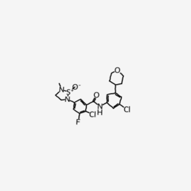 CN1CCN(c2cc(F)c(Cl)c(C(=O)Nc3cc(Cl)cc(C4CCOCC4)c3)c2)[S+]1[O-]